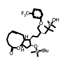 CC(C)(C[C@H](CC[C@@H]1[C@H]2C/C=C\CCCC(=O)O[C@H]2C[C@H]1O[Si](C)(C)C(C)(C)C)COc1cccc(C(F)(F)F)c1)[Si](C)(C)O